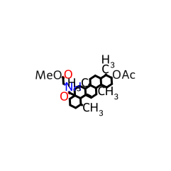 COC(=O)CNC(=O)C12CCCC(C)C1C1=CCC3C(C)(CCC4C(C)C(OC(C)=O)CCC43C)C1CC2